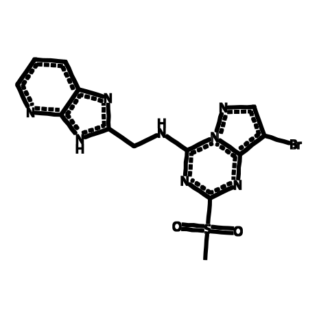 CS(=O)(=O)c1nc(NCc2nc3cccnc3[nH]2)n2ncc(Br)c2n1